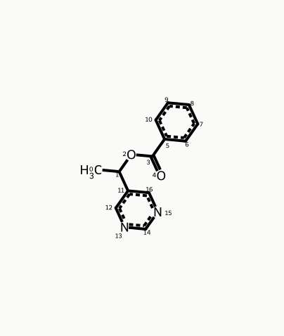 CC(OC(=O)c1ccccc1)c1cncnc1